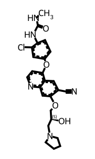 CNC(=O)Nc1ccc(Oc2ccnc3cc(OC[C@@H](O)CN4CCCC4)c(C#N)cc23)cc1Cl